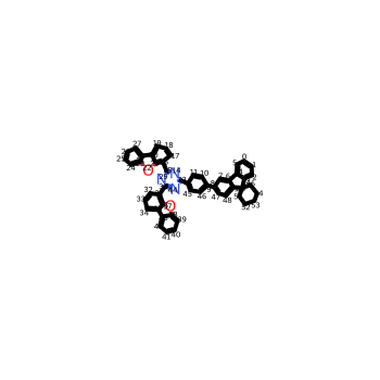 c1ccc2c(c1)-c1cc(-c3ccc(-c4nc(-c5cccc6c5oc5ccccc56)nc(-c5cccc6c5oc5ccccc56)n4)cc3)ccc1C21CCCCC1